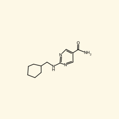 NC(=O)c1cnc(NCC2CCCCC2)nc1